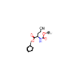 CC(C)(C)OC(=O)NC(CCC#N)C(=O)OCc1ccccc1